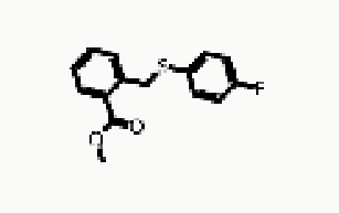 COC(=O)c1ccccc1CSc1ccc(F)cc1